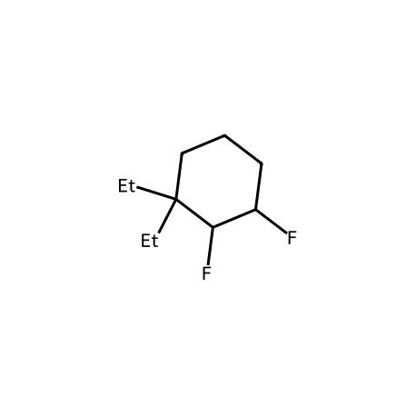 CCC1(CC)CCCC(F)C1F